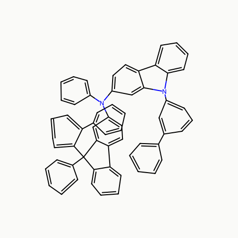 c1ccc(-c2cccc(-n3c4ccccc4c4ccc(N(c5ccccc5)c5ccc6c(c5)C(c5ccccc5)(c5ccccc5-c5ccccc5)c5ccccc5-6)cc43)c2)cc1